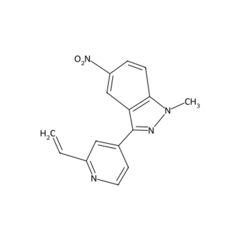 C=Cc1cc(-c2nn(C)c3ccc([N+](=O)[O-])cc23)ccn1